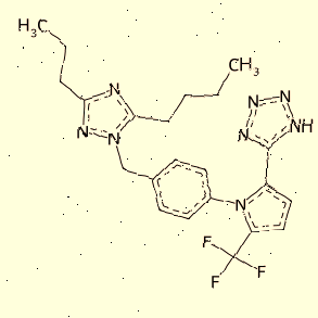 CCCCc1nc(CCC)nn1Cc1ccc(-n2c(-c3nnn[nH]3)ccc2C(F)(F)F)cc1